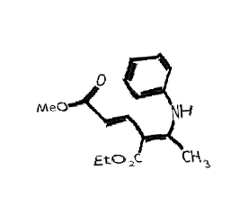 CCOC(=O)C(C=CC(=O)OC)=C(C)Nc1ccccc1